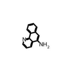 Nc1cc2ccccc2c2ncccc12